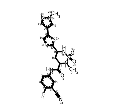 CN1C(C(=O)Nc2ccc(F)c(C#N)c2)CC(c2ncc(-c3cnn(C)c3)s2)NS1(=O)=O